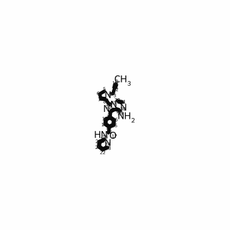 CC#CCN1CCC=C1c1nc(-c2ccc(C(=O)Nc3ccccn3)cc2)c2c(N)nccn12